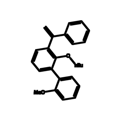 C=C(c1ccccc1)c1cccc(-c2ccccc2OC)c1OCCCC